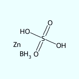 B.O=S(=O)(O)O.[Zn]